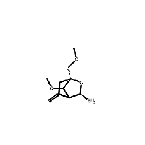 B[C@@H]1O[C@]2(COC)CC(=C)C1C2OC